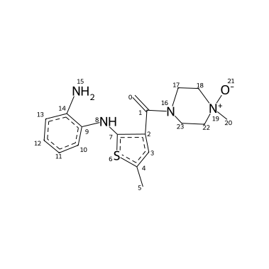 C=C(c1cc(C)sc1Nc1ccccc1N)N1CC[N+](C)([O-])CC1